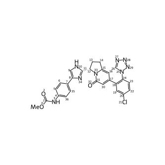 COC(=O)Nc1ccc(-c2c[nH]c([C@@H]3CCc4cc(-c5cc(Cl)ccc5-n5cnnn5)cc(=O)n43)n2)cc1